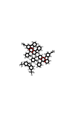 CC(C)(C)c1ccc2c(c1)c1cc(C(C)(C)C)ccc1n2-c1cc2c3c(c1)N(c1ccccc1-c1ccccc1)c1cc(-n4c5ccccc5c5cc(C#N)ccc54)c4c(sc5ccccc54)c1B3c1ccc(C3c4ccccc4-c4cc(C#N)ccc43)cc1N2c1ccccc1-c1ccccc1